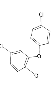 [O]c1ccc(Cl)cc1Oc1ccc(Cl)cc1